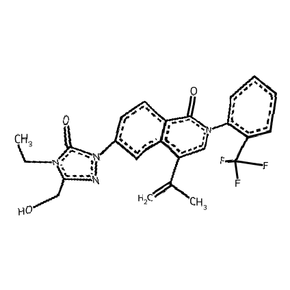 C=C(C)c1cn(-c2ccccc2C(F)(F)F)c(=O)c2ccc(-n3nc(CO)n(CC)c3=O)cc12